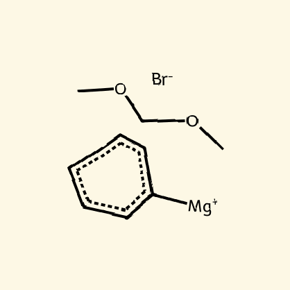 COCOC.[Br-].[Mg+][c]1ccccc1